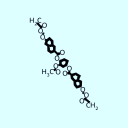 C=CC(=O)OCOc1ccc2cc(C(=O)Oc3ccc(OC(=O)c4ccc5cc(OCOC(=O)C=C)ccc5c4)c(OC(C)=O)c3)ccc2c1